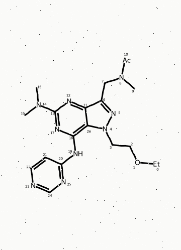 CCOCCn1nc(CN(C)C(C)=O)c2nc(N(C)C)nc(Nc3ccncn3)c21